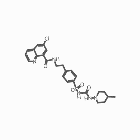 CC1CCN(NC(=O)NS(=O)(=O)c2ccc(CCNC(=O)c3cc(Cl)cc4cccnc34)cc2)CC1